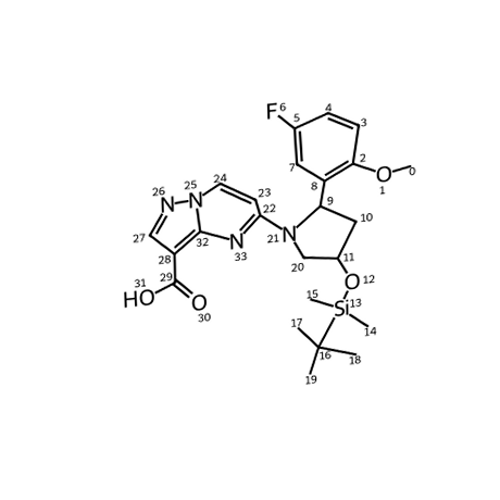 COc1ccc(F)cc1C1CC(O[Si](C)(C)C(C)(C)C)CN1c1ccn2ncc(C(=O)O)c2n1